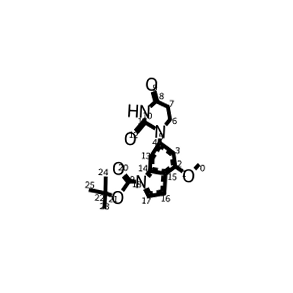 COc1cc(N2CCC(=O)NC2=O)cc2c1ccn2C(=O)OC(C)(C)C